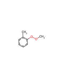 [CH2]OOc1ccccc1C